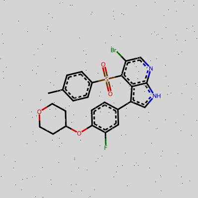 Cc1ccc(S(=O)(=O)c2c(Br)cnc3[nH]cc(-c4ccc(OC5CCOCC5)c(F)c4)c23)cc1